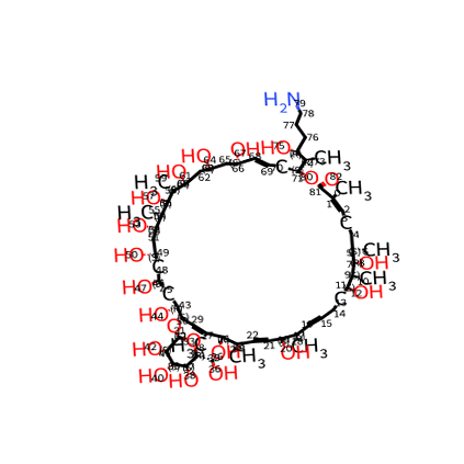 CC1=CCC[C@H](C)[C@@H](O)[C@@H](C)[C@@H](O)CCC=C[C@H](C)[C@@H](O)C=C[C@H](C)[C@@H](O)C(C)=C[C@H](O[C@H]2O[C@H](CO)[C@@H](O)[C@H](O)[C@@H]2O)[C@H](O)C[C@@H](O)C[C@H](O)C[C@H](O)[C@H](C)[C@@H](O)[C@@H](C)[C@H](O)C[C@@H](O)C[C@H](O)C=CC[C@@H]([C@H](C)[C@H](O)CCCN)OC1=O